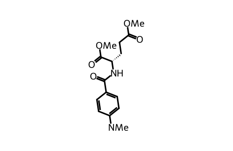 CNc1ccc(C(=O)N[C@@H](CCC(=O)OC)C(=O)OC)cc1